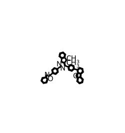 CC1(C)c2ccccc2-c2nc(-c3ccc(-c4nc5ccccc5o4)cc3)nc(-c3ccc(-c4cccc5c4oc4ccccc45)cc3)c21